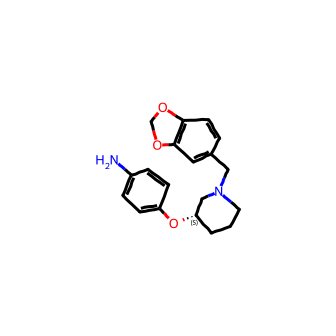 Nc1ccc(O[C@H]2CCCN(Cc3ccc4c(c3)OCO4)C2)cc1